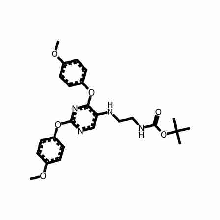 COc1ccc(Oc2ncc(NCCNC(=O)OC(C)(C)C)c(Oc3ccc(OC)cc3)n2)cc1